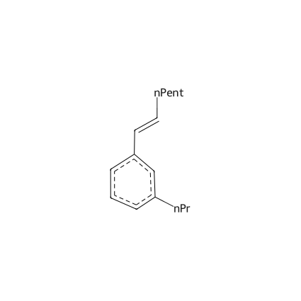 C[CH]Cc1cccc(C=CCCCCC)c1